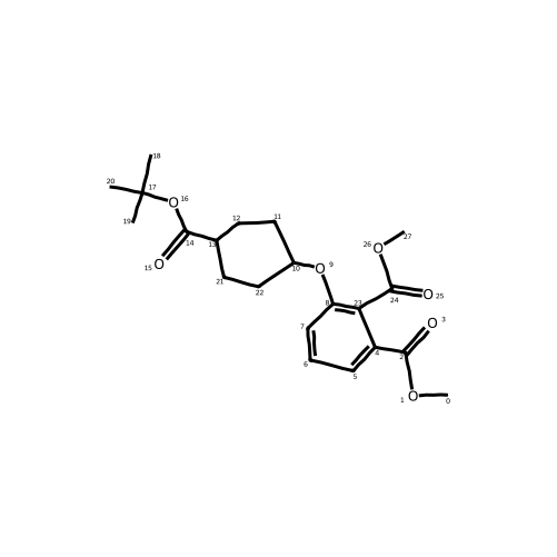 COC(=O)c1cccc(OC2CCC(C(=O)OC(C)(C)C)CC2)c1C(=O)OC